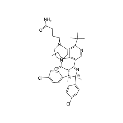 CCOc1cc(C(C)(C)C)ncc1C1=N[C@@](C)(c2ccc(Cl)cc2)[C@@](C)(c2ccc(Cl)cc2)N1C(=O)N1CCN(CCCC(N)=O)CC1